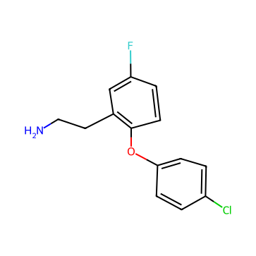 NCCc1cc(F)ccc1Oc1ccc(Cl)cc1